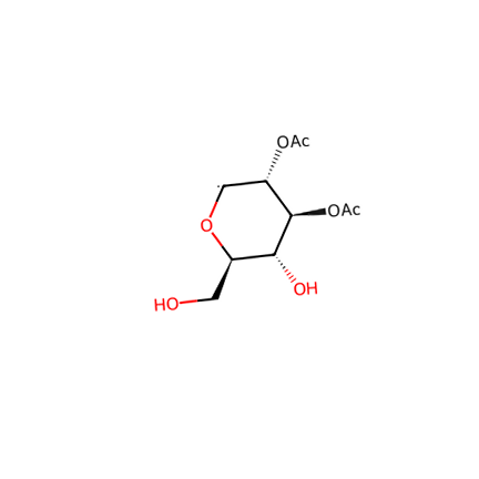 CC(=O)O[C@H]1[C@H](O)[C@@H](CO)O[CH][C@@H]1OC(C)=O